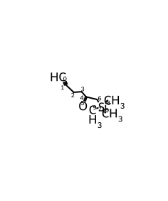 C#CCCC(=O)C[Si](C)(C)C